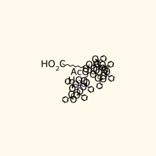 CC(=O)OC(CCOC(O)/C(OC(=O)c1ccccc1)=C(\OC(=O)c1ccccc1)C(CCOC(=O)c1ccccc1)OC(=O)c1ccccc1)C(OC1OC(COC(=O)c2ccccc2)C(OC(=O)c2ccccc2)C(OC(=O)c2ccccc2)C1OC(=O)c1ccccc1)C(OC(C)=O)C(O)OCCCCCCCCC(=O)O